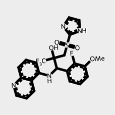 COc1cccc(C(Nc2cccc3ncccc23)C(O)(CS(=O)(=O)c2ncc[nH]2)C(F)(F)F)c1F